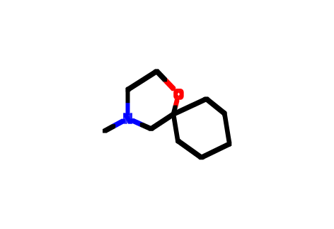 CN1CCOC2(CCCCC2)C1